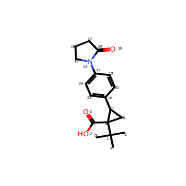 CC(C)(C)C1(C(=O)O)CC1c1ccc(N2CCCC2=O)cc1